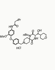 CCCCN1C(=O)[C@@H](C(O)C2CCOCC2)NC(=O)C12CCN(Cc1ccc(Oc3ccc(NC(=O)CC(C)C)cc3OC)cc1)CC2.Cl